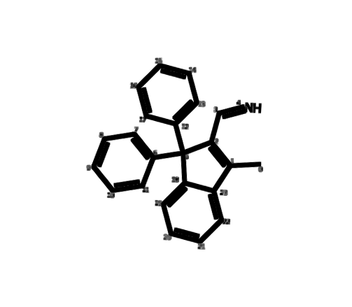 CC1=C(C=N)C(c2ccccc2)(c2ccccc2)c2ccccc21